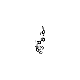 CC(=O)c1ccc2nc(Cc3ccc(-c4cccc(OCc5ccc(C#N)cc5F)n4)cc3F)n(C[C@H]3CCCO3)c2c1